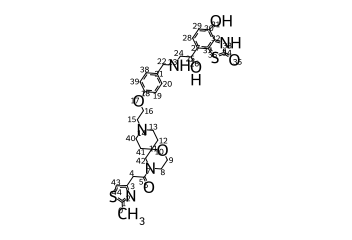 Cc1nc(CC(=O)N2CCOC3(CCN(CCOc4ccc(CNC[C@H](O)c5ccc(O)c6[nH]c(=O)sc56)cc4)CC3)C2)cs1